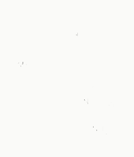 COc1ccc(C2(c3ccc(Cl)c(Br)c3)COC(N)=N2)cc1C